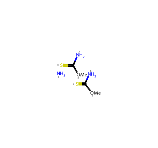 COC(N)=S.COC(N)=S.N